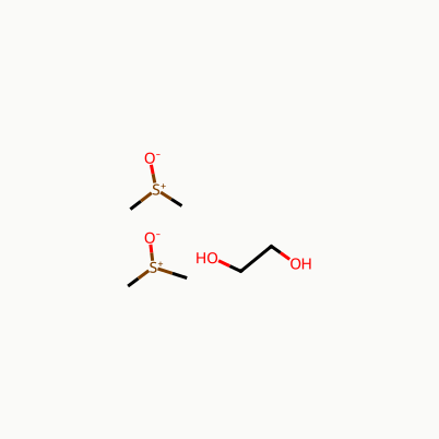 C[S+](C)[O-].C[S+](C)[O-].OCCO